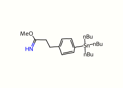 CCC[CH2][Sn]([CH2]CCC)([CH2]CCC)[c]1ccc(CCC(=N)OC)cc1